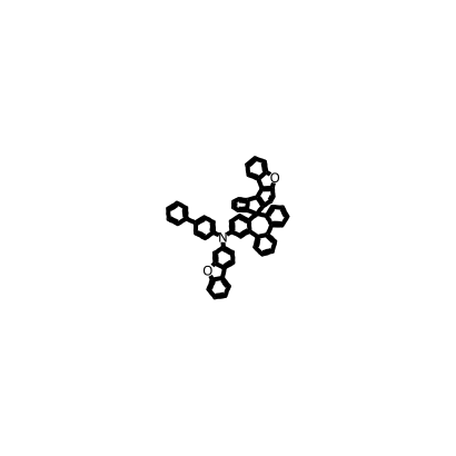 c1ccc(-c2ccc(N(c3ccc4c(c3)-c3ccccc3-c3ccccc3C43c4ccccc4-c4c3ccc3oc5ccccc5c43)c3ccc4c(c3)oc3ccccc34)cc2)cc1